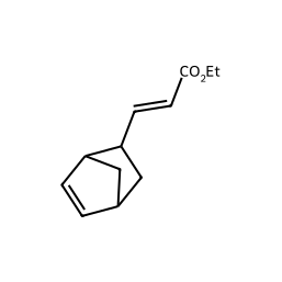 CCOC(=O)/C=C/C1CC2C=CC1C2